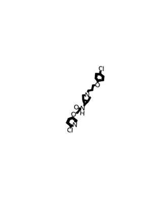 O=C(COc1ccc(Cl)nc1)NC1C2CN(CCCOc3ccc(Cl)cc3)CC21